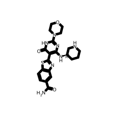 NC(=O)c1ccc2sc(-c3c(N[C@@H]4CCCNC4)nc(N4CCOCC4)[nH]c3=O)nc2c1